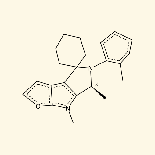 Cc1ccccc1N1[C@@H](C)c2c(c3ccoc3n2C)C12CCCCC2